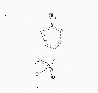 CCS(=O)(=O)Cc1ccc(C(F)(F)F)cc1